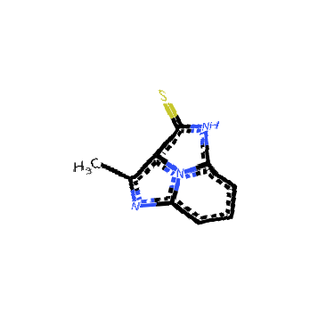 Cc1nc2cccc3[nH]c(=S)c1n23